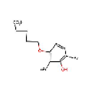 CCCc1c(OCCCCC(=O)O)ccc(C(C)=O)c1O